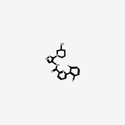 O=C(Nc1cnsc1N1CCCC(O)C1)c1cccc(-c2c(F)cccc2F)n1